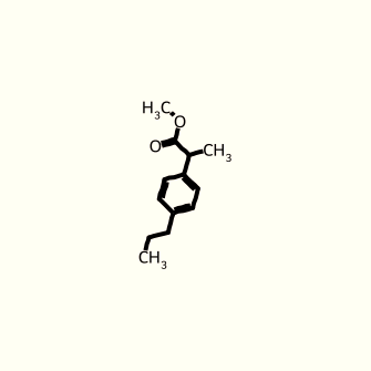 CCCc1ccc(C(C)C(=O)OC)cc1